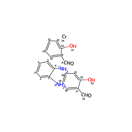 Nc1ccccc1N.O=Cc1ccccc1O.O=Cc1ccccc1O.[Cr]